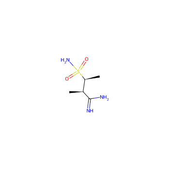 C[C@H](C(=N)N)[C@H](C)S(N)(=O)=O